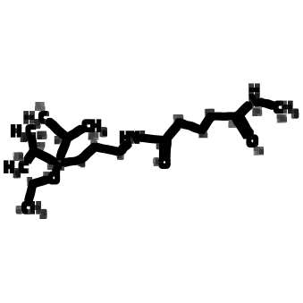 CCO[Si](CCCNC(=O)CCCC(=O)NC)(C(C)C)C(C)C